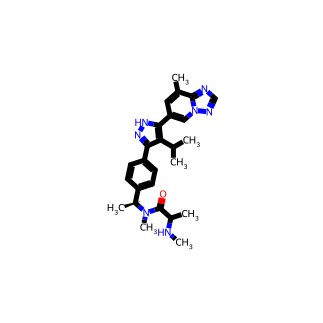 CNC(C)C(=O)N(C)[C@@H](C)c1ccc(-c2n[nH]c(-c3cc(C)c4ncnn4c3)c2C(C)C)cc1